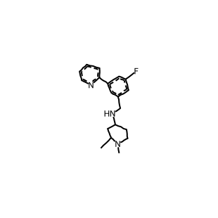 CC1CC(NCc2cc(F)cc(-c3ccccn3)c2)CCN1C